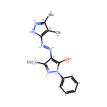 CCOC(=O)c1nn(-c2ccccc2)c(O)c1/N=N/c1[nH]nc(C(C)(C)C)c1C#N